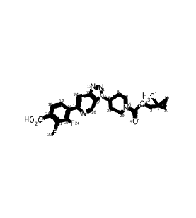 CC1(COC(=O)N2CCC(n3nnc4cc(-c5ccc(C(=O)O)c(F)c5F)ncc43)CC2)CC1